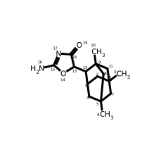 CC12CC3CC(C)(C1)CC(C)(C2)C3C1OC(N)=NC1=O